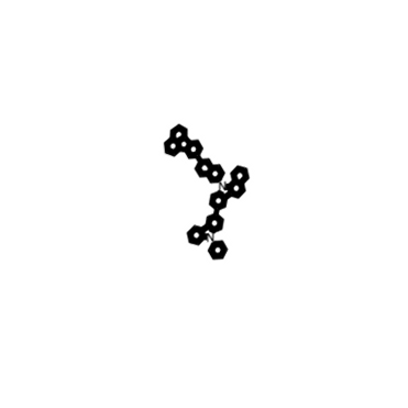 c1ccc(-n2c3ccccc3c3cc(-c4ccc5c(c4)c4ccc6ccccc6c4n5-c4ccc5cc(-c6ccc7c(c6)-c6cccc8cccc-7c68)ccc5c4)ccc32)cc1